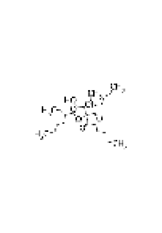 CCCCCC(=O)C(OC(=O)C(CC)CCCC)(C(=O)C(CC)CCCC)C(O)CO